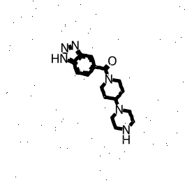 O=C(c1ccc2[nH]nnc2c1)N1CCC(N2CCNCC2)CC1